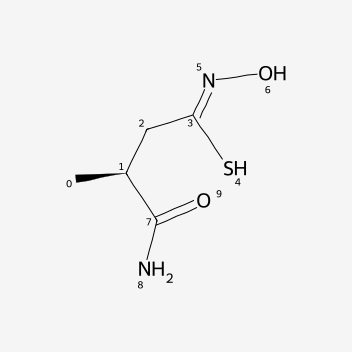 C[C@@H](C/C(S)=N/O)C(N)=O